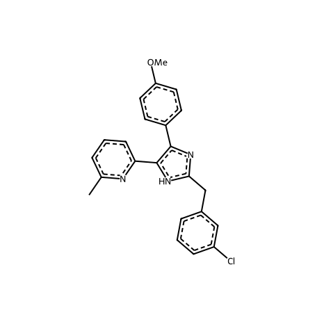 COc1ccc(-c2nc(Cc3cccc(Cl)c3)[nH]c2-c2cccc(C)n2)cc1